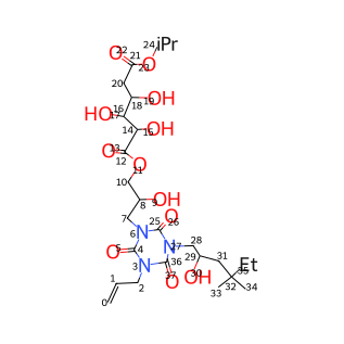 C=CCn1c(=O)n(CC(O)COC(=O)C(O)C(O)C(O)CC(=O)OC(C)C)c(=O)n(CC(O)CC(C)(C)CC)c1=O